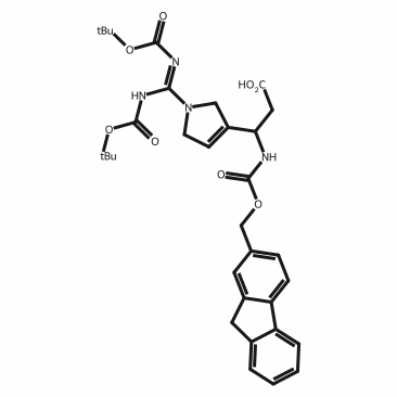 CC(C)(C)OC(=O)N=C(NC(=O)OC(C)(C)C)N1CC=C(C(CC(=O)O)NC(=O)OCc2ccc3c(c2)Cc2ccccc2-3)C1